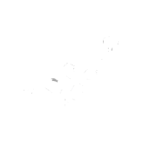 O=C1Nc2cc(C(=O)O)ccc2/C1=C(\c1ccccc1)N(c1ccc2c(c1)CCN2C(=O)CN1CCCCC1)C1CC1